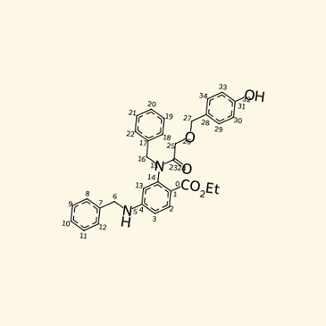 CCOC(=O)c1ccc(NCc2ccccc2)cc1N(Cc1ccccc1)C(=O)COCc1ccc(O)cc1